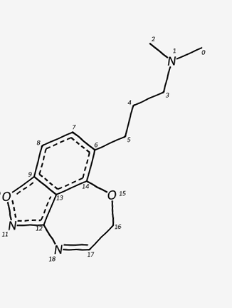 CN(C)CCCc1ccc2onc3c2c1OCC=N3